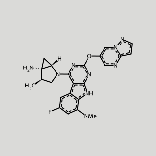 CNc1cc(F)cc2c1[nH]c1nc(Oc3cnc4ccnn4c3)nc(N3C[C@@H](C)[C@@]4(N)C[C@H]34)c12